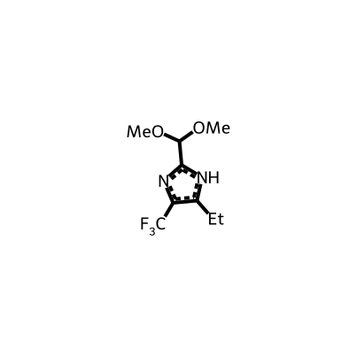 CCc1[nH]c(C(OC)OC)nc1C(F)(F)F